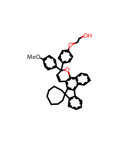 COc1ccc(C2(c3ccc(OCCO)cc3)C=Cc3c4c(c5ccccc5c3O2)-c2ccccc2C42CCCCCCC2)cc1